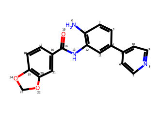 Nc1ccc(-c2ccncc2)cc1NC(=O)c1ccc2c(c1)OCO2